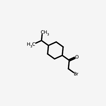 CC(C)C1CCC(C(=O)CBr)CC1